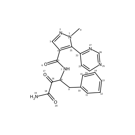 Cn1ncc(C(=O)NC(Cc2ccccc2)C(=O)C(N)=O)c1-c1ccncn1